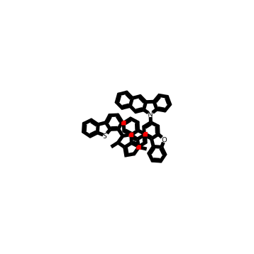 CC1C/C=C(\c2cccc3ccccc23)C(C)C(c2cccc3c2sc2ccccc23)/N=C\1c1cc(-n2c3ccccc3c3cc4ccccc4cc32)cc2oc3ccccc3c12